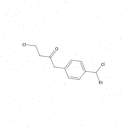 CCC(Cl)c1ccc(CC(=O)CCCl)cc1